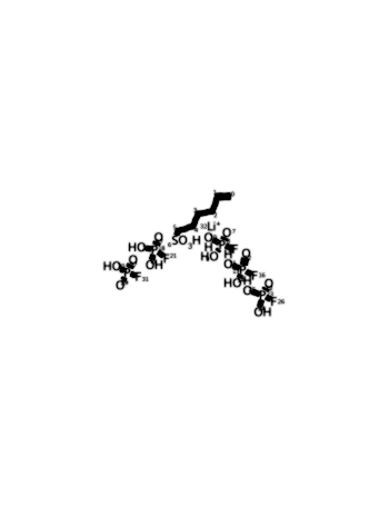 C=CCCCCS(=O)(=O)O.O=P(O)(O)F.O=P(O)(O)F.O=P(O)(O)F.O=P(O)(O)F.O=P([O-])(O)F.[Li+]